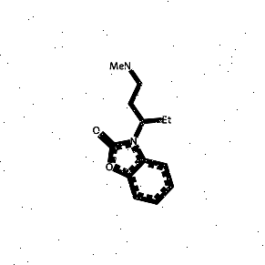 CCC(CCNC)n1c(=O)oc2ccccc21